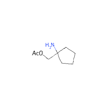 CC(=O)OCC1(N)CCCC1